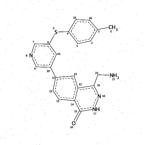 Cc1ccc(Sc2cncc(-c3ccc4c(=O)[nH]nc(CN)c4c3)c2)cc1